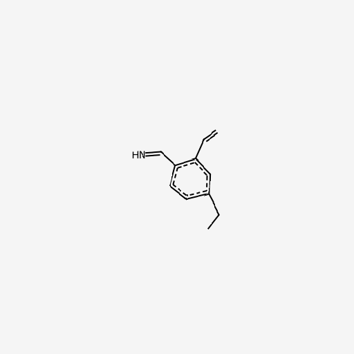 C=Cc1cc(CC)ccc1C=N